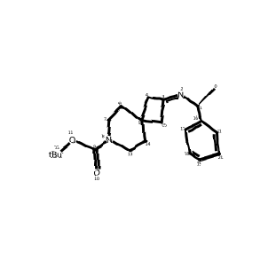 C[C@H](N=C1CC2(CCN(C(=O)OC(C)(C)C)CC2)C1)c1ccccc1